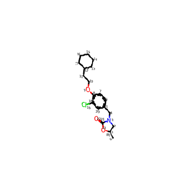 C[C@@H]1CN(Cc2ccc(OCCC3CCCCC3)c(Cl)c2)C(=O)O1